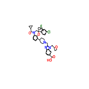 CC1(c2ccc(Cl)cc2F)CN(C(=O)C2CC2)c2cccc(C3CCN(Cc4nc5ccc(C(=O)O)cc5n4C[C@@H]4CCO4)CC3)c2O1